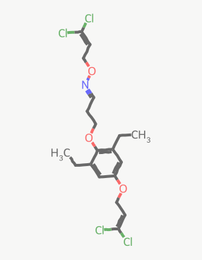 CCc1cc(OCC=C(Cl)Cl)cc(CC)c1OCC/C=N/OCC=C(Cl)Cl